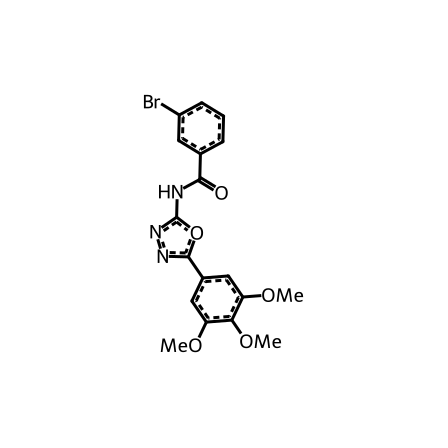 COc1cc(-c2nnc(NC(=O)c3cccc(Br)c3)o2)cc(OC)c1OC